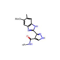 CCCNC(=O)c1c[nH]nc1-c1nc2cc(OC)c(C)cc2[nH]1